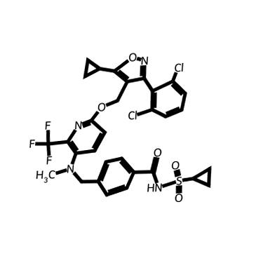 CN(Cc1ccc(C(=O)NS(=O)(=O)C2CC2)cc1)c1ccc(OCc2c(-c3c(Cl)cccc3Cl)noc2C2CC2)nc1C(F)(F)F